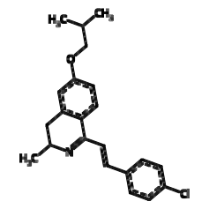 CC(C)COc1ccc2c(c1)CC(C)N=C2C=Cc1ccc(Cl)cc1